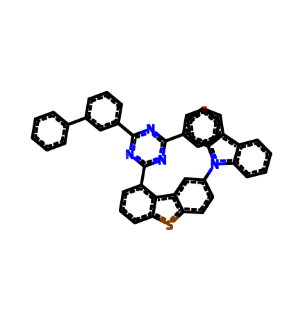 c1ccc(-c2cccc(-c3nc(-c4ccccc4)nc(-c4cccc5sc6ccc(-n7c8ccccc8c8ccccc87)cc6c45)n3)c2)cc1